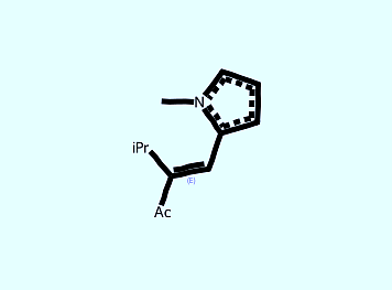 CC(=O)/C(=C/c1cccn1C)C(C)C